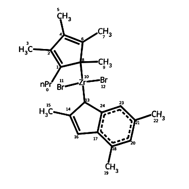 CCCC1=C(C)C(C)=C(C)[C]1(C)[Zr]([Br])([Br])[CH]1C(C)=Cc2c(C)cc(C)cc21